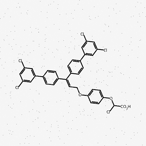 O=C(O)C(Cl)Oc1ccc(OCC=C(c2ccc(-c3cc(Cl)cc(Cl)c3)cc2)c2ccc(-c3cc(Cl)cc(Cl)c3)cc2)cc1